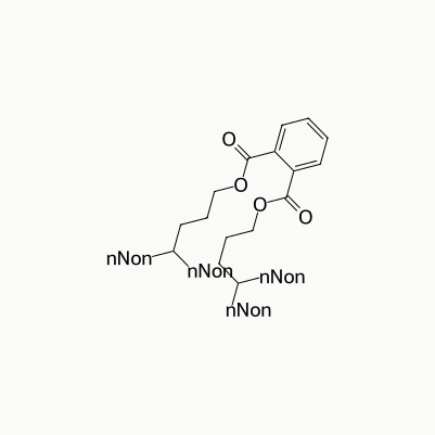 CCCCCCCCCC(CCCCCCCCC)CCCOC(=O)c1ccccc1C(=O)OCCCC(CCCCCCCCC)CCCCCCCCC